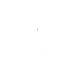 O=C(c1ccccc1)C1(Cl)CCCCCC1